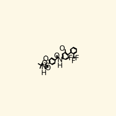 COc1cc(C(=O)Nc2ccc(-c3ccccc3C(F)(F)F)c(C=O)c2)ccc1S(=O)(=O)NC(C)(C)C